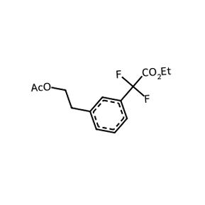 CCOC(=O)C(F)(F)c1cccc(CCOC(C)=O)c1